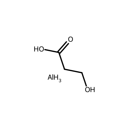 O=C(O)CCO.[AlH3]